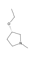 CCO[C@H]1CCN(C)C1